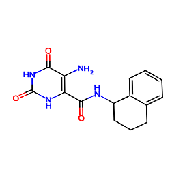 Nc1c(C(=O)NC2CCCc3ccccc32)[nH]c(=O)[nH]c1=O